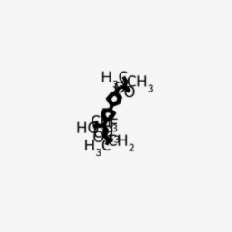 C=C(C)C(=O)OC(c1ccc(-c2ccc(OC(=O)C(C)C)cc2)cc1F)C(C)(C)O